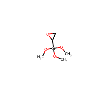 CO[Si](OC)(OC)C1CO1